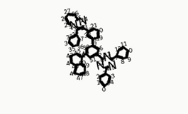 c1ccc(-c2nc(-c3ccccc3)nc(-c3cc(-c4cccc(-c5nc6ccccn6c5-c5ccccc5)c4)cc(-c4cccc5ccccc45)c3)n2)cc1